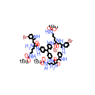 CC(C)(C)OC(=O)NCCCC[C@@](N)(C(=O)Cc1c[nH]c2ccc(Br)cc12)C(=O)Nc1ccc(C(c2ccc(NC(=O)[C@@](N)(CCCCNC(=O)OC(C)(C)C)C(=O)Cc3c[nH]c4ccc(Br)cc34)cc2)c2ccc(NC(=O)[C@@](N)(CCCCNC(=O)OC(C)(C)C)C(=O)Cc3c[nH]c4ccc(Br)cc34)cc2)cc1